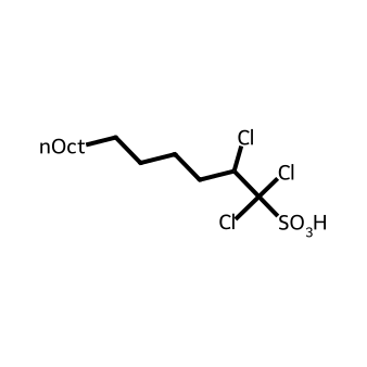 CCCCCCCCCCCCC(Cl)C(Cl)(Cl)S(=O)(=O)O